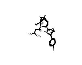 CC(C)CC(=O)N1[C@@H]2C[C@@H]2C[C@H]1c1ncc(-c2ccc(I)cc2)[nH]1